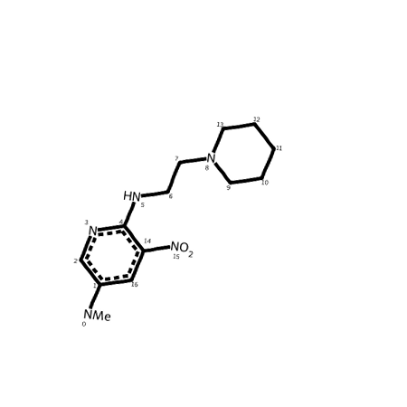 CNc1cnc(NCCN2CCCCC2)c([N+](=O)[O-])c1